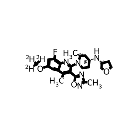 [2H]C([2H])([2H])Oc1cc(F)c2nc(N3CC[C@@H](N[C@@H]4CCOC4)C[C@H]3C)c(-c3nc(C)no3)c(C)c2c1